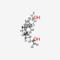 CC[C@]1(O)CC[C@@]2(C)C(=CC[C@H]3[C@@H]4CC[C@H]([C@H](C)CCC(O)C(C)C)[C@@]4(C)CC[C@@H]32)C1